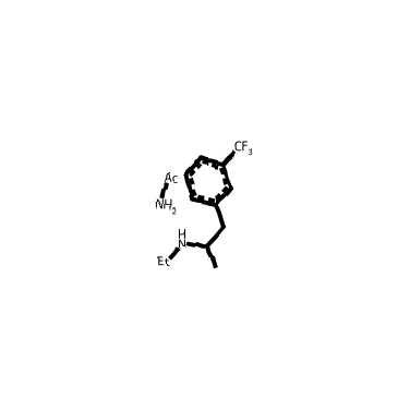 CC(N)=O.CCNC(C)Cc1cccc(C(F)(F)F)c1